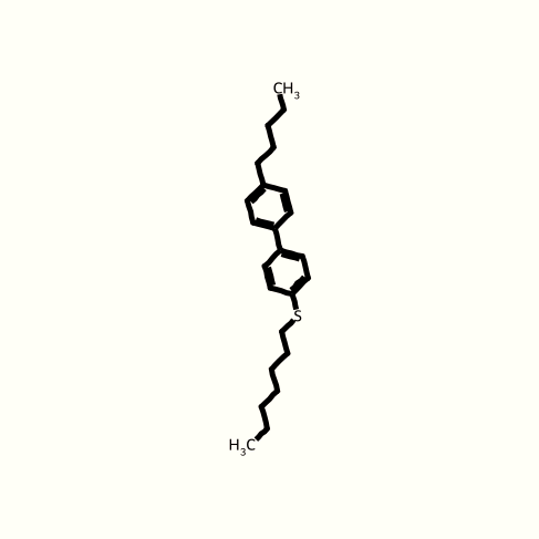 CCCCCCCSc1ccc(-c2ccc(CCCCC)cc2)cc1